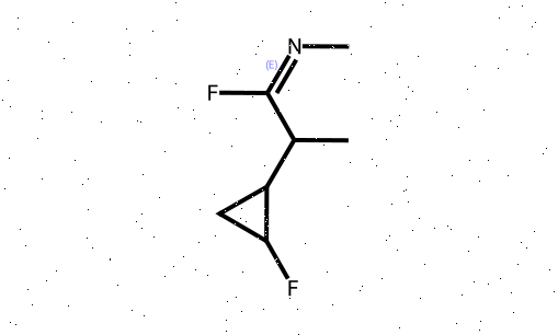 C/N=C(/F)C(C)C1CC1F